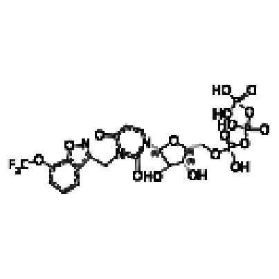 O=c1ccn([C@@H]2O[C@H](COP(=O)(O)OP(=O)(O)OP(=O)(O)O)[C@H](O)C2O)c(=O)n1Cc1noc2c(OC(F)(F)F)cccc12